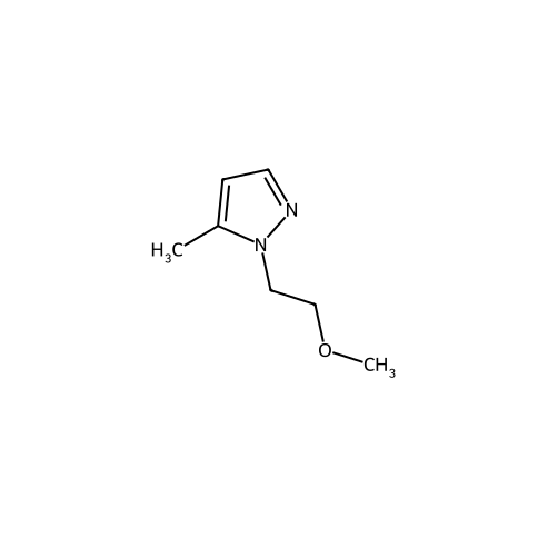 COCCn1nccc1C